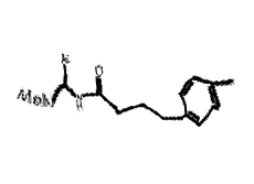 CNC(NC(=O)CCCc1ccc(C)cc1)C(C)=O